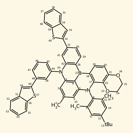 Cc1cc2c3c(c1)N(c1c(C)cc(C(C)(C)C)cc1C)c1c(ccc4c1OCCO4)B3c1ccc(-c3cc4ccccc4s3)cc1N2c1cccc(-c2cc3ccccc3s2)c1